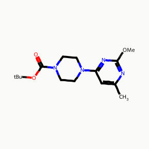 COc1nc(C)cc(N2CCN(C(=O)OC(C)(C)C)CC2)n1